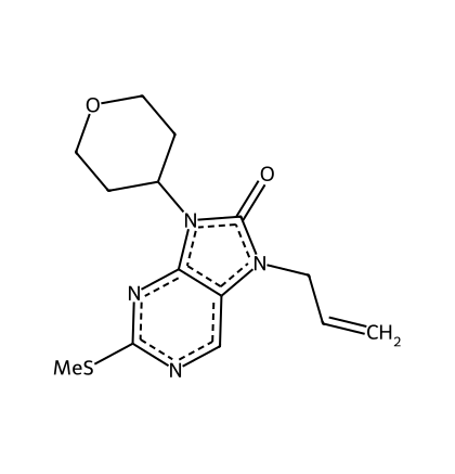 C=CCn1c(=O)n(C2CCOCC2)c2nc(SC)ncc21